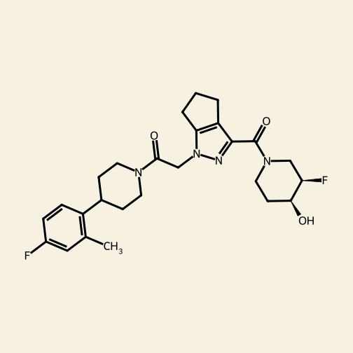 Cc1cc(F)ccc1C1CCN(C(=O)Cn2nc(C(=O)N3CC[C@H](O)[C@H](F)C3)c3c2CCC3)CC1